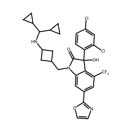 O=C1N(CC2CC(NC(C3CC3)C3CC3)C2)c2cc(-c3ncco3)cc(C(F)(F)F)c2C1(O)c1ccc(Cl)cc1Cl